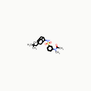 CC(=O)N(C)c1cccc(S(=O)(=O)NC2C3CC4CC2CC(CC(C)(C)C)(C4)C3)c1